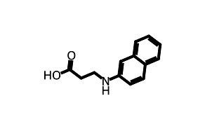 O=C(O)CCNc1ccc2ccccc2c1